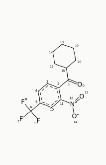 O=C(c1ccc(C(F)(F)F)cc1[N+](=O)[O-])C1CCCCC1